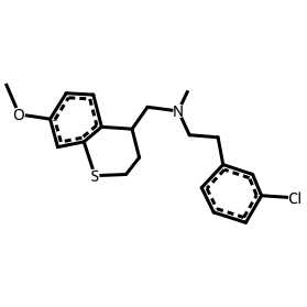 COc1ccc2c(c1)SCCC2CN(C)CCc1cccc(Cl)c1